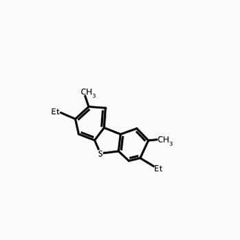 CCc1cc2sc3cc(CC)c(C)cc3c2cc1C